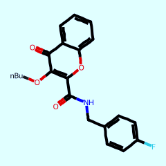 CCCCOc1c(C(=O)NCc2ccc(F)cc2)oc2ccccc2c1=O